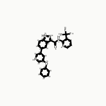 O=C(Nc1ncccc1C(F)(F)F)c1n[nH]c2ccc(-c3cncc(Oc4ccccc4)c3)cc12